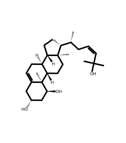 C[C@H](C/C=C\C(C)(C)O)[C@H]1CC[C@H]2[C@@H]3CC=C4C[C@@H](O)C[C@H](O)[C@]4(C)[C@H]3CC[C@]12C